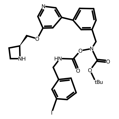 CC(C)(C)OC(=O)N(Cc1cccc(-c2cncc(OC[C@@H]3CCN3)c2)c1)OC(=O)NCc1cccc(I)c1